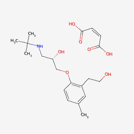 Cc1ccc(OC[C@@H](O)CNC(C)(C)C)c(CCO)c1.O=C(O)/C=C\C(=O)O